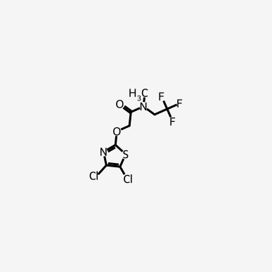 CN(CC(F)(F)F)C(=O)COc1nc(Cl)c(Cl)s1